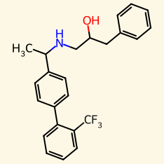 CC(NCC(O)Cc1ccccc1)c1ccc(-c2ccccc2C(F)(F)F)cc1